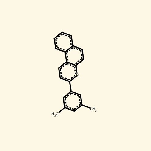 Cc1cc(C)cc(-c2ccc3c(ccc4ccccc43)n2)c1